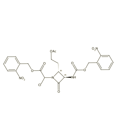 CC(=O)OCC[C@@H]1[C@@H](NC(=O)OCc2ccccc2[N+](=O)[O-])C(=O)N1C(Cl)C(=O)OCc1ccccc1[N+](=O)[O-]